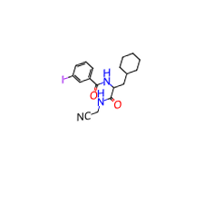 N#CCNC(=O)C(CC1CCCCC1)NC(=O)c1cccc(I)c1